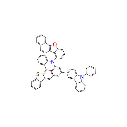 c1ccc(-n2c3ccccc3c3cc(-c4cccc(N(c5ccccc5-c5cccc6c5sc5ccccc56)c5cccc6oc7c8ccccc8ccc7c56)c4)ccc32)cc1